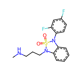 CNCCCN1c2ccccc2N(c2ccc(F)cc2F)S1(=O)=O